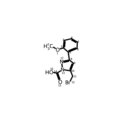 COc1ccccc1-c1cc(CBr)n(C(=O)O)n1